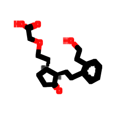 O=C(O)COCC[C@H]1CCC(=O)[C@@H]1CCc1ccccc1CCO